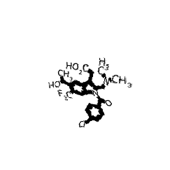 CC(O)c1cc2c(CC(=O)O)c(CN(C)C)n(C(=O)c3ccc(Cl)cc3)c2cc1C(F)(F)F